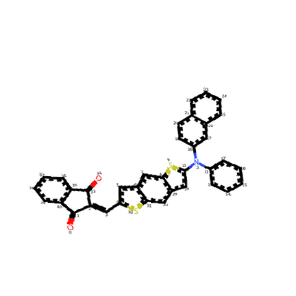 O=C1C(=Cc2cc3cc4sc(N(c5ccccc5)c5ccc6ccccc6c5)cc4cc3s2)C(=O)c2ccccc21